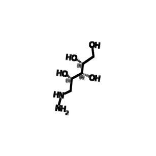 NNC[C@H](O)[C@@H](O)[C@H](O)CO